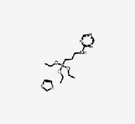 C1=CSCS1.CCO[Si](CCCNc1ncncn1)(OCC)OCC